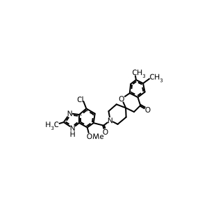 COc1c(C(=O)N2CCC3(CC2)CC(=O)c2cc(C)c(C)cc2O3)cc(Cl)c2nc(C)[nH]c12